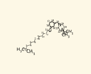 CC(C)CCCCCCCCCCCOc1cccc(CN2CCN(C(C)C)CC2)c1